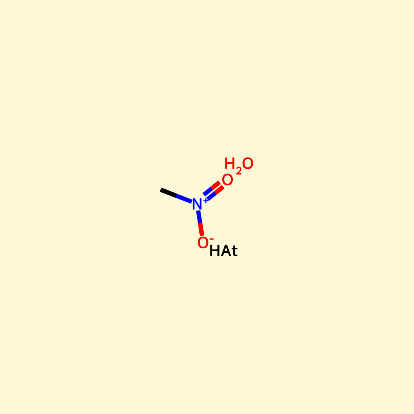 C[N+](=O)[O-].O.[AtH]